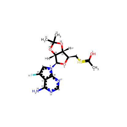 CC(O)=[SH]C[C@H]1O[C@@H](n2cc(F)c3c(N)ncnc32)[C@@H]2OC(C)(C)O[C@@H]21